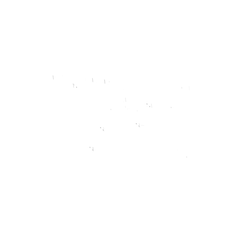 COc1cccc(-c2c(NC(=O)Nc3c(C(C)C)cccc3C(C)C)c(=O)n(CCCN(C)C)c3ncccc23)c1